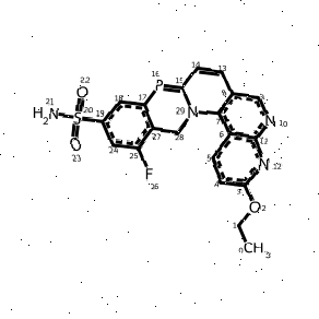 CCOc1ccc2c3c(cnc2n1)C=CC1=Pc2cc(S(N)(=O)=O)cc(F)c2CN13